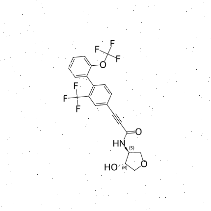 O=C(C#Cc1ccc(-c2ccccc2OC(F)(F)F)c(C(F)(F)F)c1)N[C@H]1COC[C@@H]1O